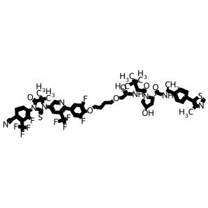 Cc1ncsc1-c1ccc([C@H](C)NC(=O)[C@@H]2C[C@@H](O)CN2C(=O)[C@@H](NC(=O)COCCCCOc2c(F)cc(-c3ncc(N4C(=S)N(c5ccc(C#N)c(C(F)(F)F)c5F)C(=O)C4(C)C)cc3C(F)(F)F)cc2F)C(C)(C)C)cc1